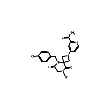 CC(C)N1CC(=O)N(Cc2ccc(Cl)cc2)C2(CN(c3ccnc(C(N)=O)c3)C2)C1=O